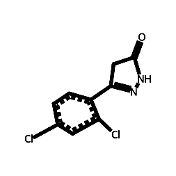 O=C1CC(c2ccc(Cl)cc2Cl)=NN1